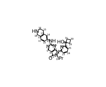 CC(C)n1c(=O)c2cnc(Nc3ccc4c(c3)CCNC4)nc2n1-c1cccc(C2(O)CCC2)n1